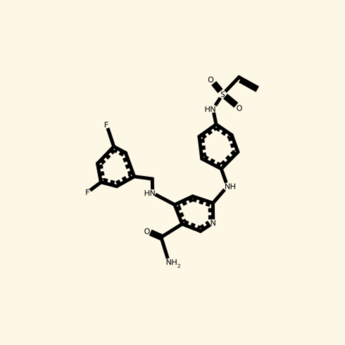 C=CS(=O)(=O)Nc1ccc(Nc2cc(NCc3cc(F)cc(F)c3)c(C(N)=O)cn2)cc1